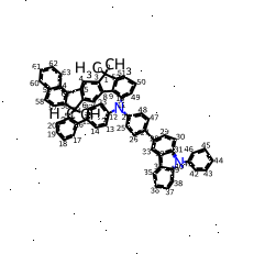 CC1(C)c2cc3c(cc2-c2c(N(c4ccc(-c5ccccc5)cc4)c4ccc(-c5ccc6c(c5)c5ccccc5n6-c5ccccc5)cc4)cccc21)C(C)(C)c1ccc2ccccc2c1-3